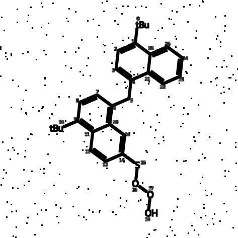 CC(C)(C)c1ccc(Cc2ccc(C(C)(C)C)c3ccc(SOOO)cc23)c2ccccc12